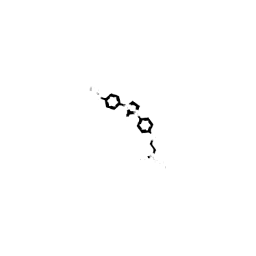 CCC(C)Oc1ccc(-n2ccn(-c3ccc(OCCN(C)C)cc3)c2=O)cc1